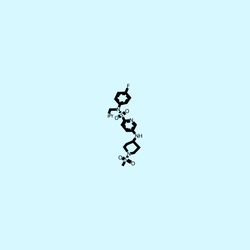 CC(C)CN(c1ccc(F)cc1)S(=O)(=O)c1ccc(NC2CCN(S(C)(=O)=O)CC2)cn1